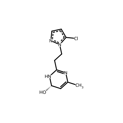 CC1=C[C@H](O)NC(CCn2nccc2Cl)=N1